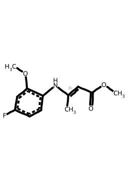 COC(=O)/C=C(\C)Nc1ccc(F)cc1OC